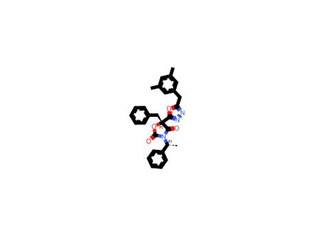 Cc1cc(C)cc(Cc2nnc([C@@]3(Cc4ccccc4)OC(=O)N([C@H](C)c4ccccc4)C3=O)o2)c1